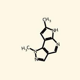 Cc1cc2c(ncc3cnn(C)c32)[nH]1